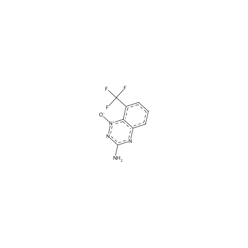 Nc1nc2cccc(C(F)(F)F)c2[n+]([O-])n1